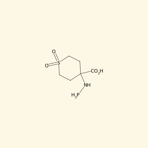 O=C(O)C1(NP)CCS(=O)(=O)CC1